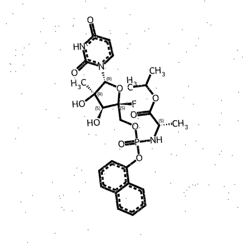 CC(C)OC(=O)[C@H](C)NP(=O)(OC[C@@]1(F)O[C@@H](n2ccc(=O)[nH]c2=O)[C@](C)(O)[C@@H]1O)Oc1cccc2ccccc12